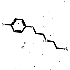 Cl.Cl.NCCNCCSc1ccc(Br)cc1